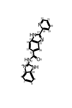 O=C(Nc1nc2ccccc2[nH]1)c1ccc2[nH]c(-c3ccccn3)nc2c1